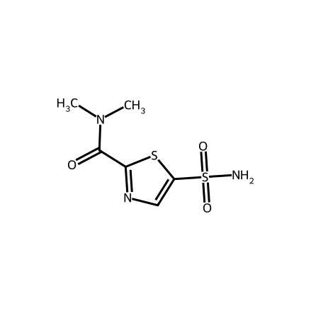 CN(C)C(=O)c1ncc(S(N)(=O)=O)s1